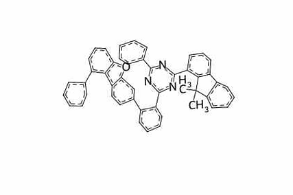 CC1(C)c2ccccc2-c2cccc(-c3nc(-c4ccccc4)nc(-c4ccccc4-c4ccc5c(c4)oc4cccc(-c6ccccc6)c45)n3)c21